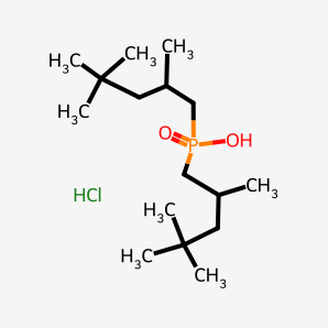 CC(CC(C)(C)C)CP(=O)(O)CC(C)CC(C)(C)C.Cl